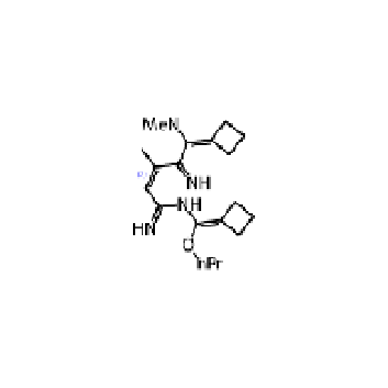 CCCOC(NC(=N)/C=C(/C)C(=N)C(NC)=C1CCC1)=C1CCC1